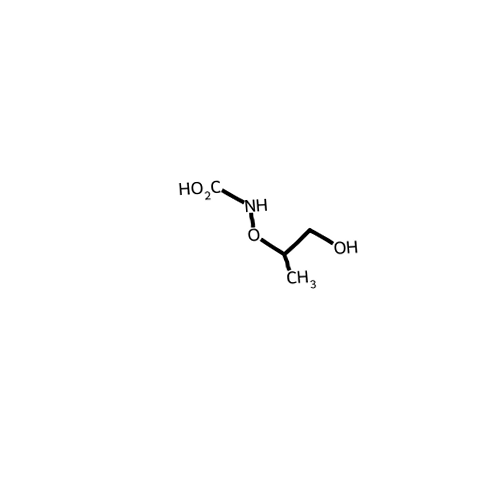 CC(CO)ONC(=O)O